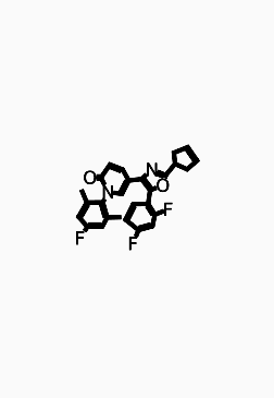 Cc1cc(F)cc(C)c1-n1cc(-c2nc(C3CC=CC3)oc2-c2ccc(F)cc2F)ccc1=O